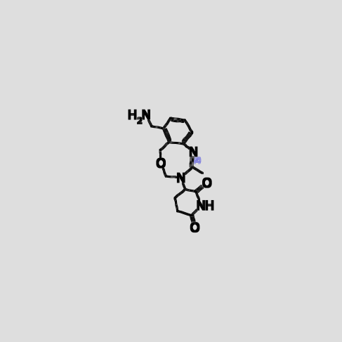 C/C1=N/c2cccc(CN)c2COCN1C1CCC(=O)NC1=O